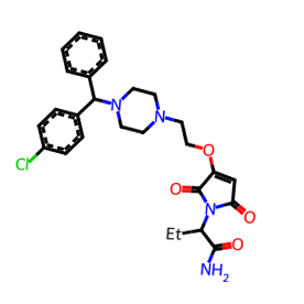 CCC(C(N)=O)N1C(=O)C=C(OCCN2CCN(C(c3ccccc3)c3ccc(Cl)cc3)CC2)C1=O